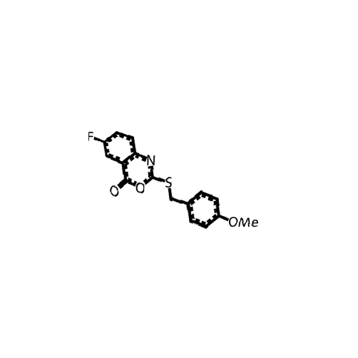 COc1ccc(CSc2nc3ccc(F)cc3c(=O)o2)cc1